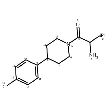 CC(C)C(N)C(=O)N1CCC(c2ccc(Cl)cc2)CC1